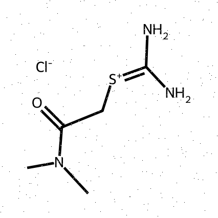 CN(C)C(=O)C[S+]=C(N)N.[Cl-]